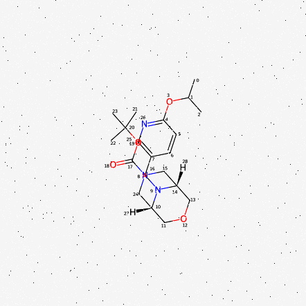 CC(C)Oc1ccc(CN2[C@@H]3COC[C@H]2CN(C(=O)OC(C)(C)C)C3)cn1